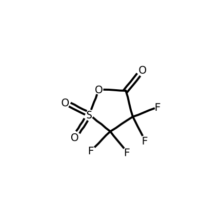 O=C1OS(=O)(=O)C(F)(F)C1(F)F